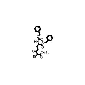 CCC(C(=O)CCC(NC(=O)OCc1ccccc1)C(=O)OCc1ccccc1)C(=O)OC(C)(C)C